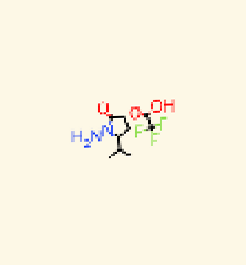 CC(C)C1CCC(=O)N1N.O=C(O)C(F)(F)F